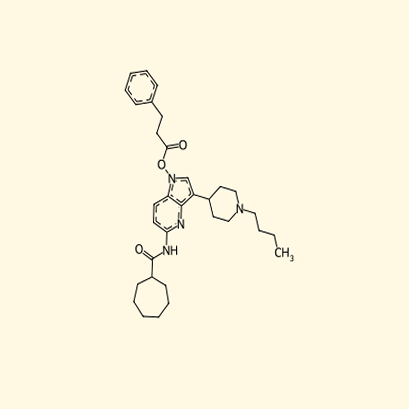 CCCCN1CCC(c2cn(OC(=O)CCc3ccccc3)c3ccc(NC(=O)C4CCCCCC4)nc23)CC1